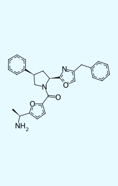 C[C@H](N)c1ccc(C(=O)N2C[C@@H](c3ccccc3)C[C@H]2c2nc(Cc3ccccc3)co2)o1